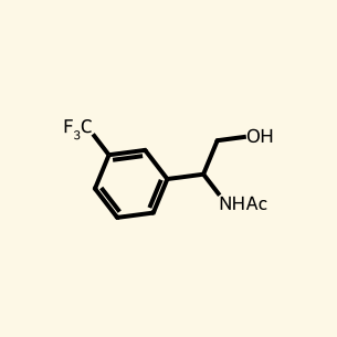 CC(=O)NC(CO)c1cccc(C(F)(F)F)c1